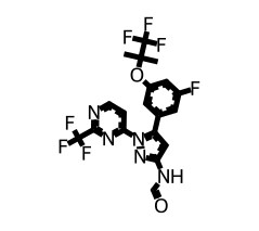 CC(C)(Oc1cc(F)cc(-c2cc(NC=O)nn2-c2ccnc(C(F)(F)F)n2)c1)C(F)(F)F